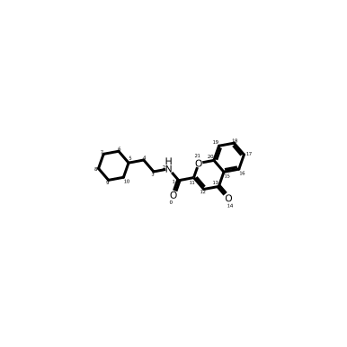 O=C(NCCC1CCCCC1)c1cc(=O)c2ccccc2o1